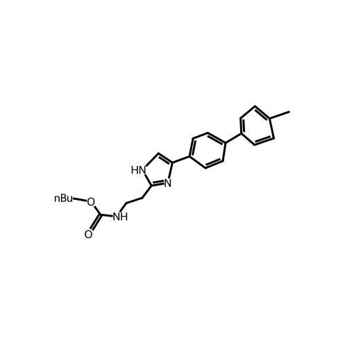 CCCCOC(=O)NCCc1nc(-c2ccc(-c3ccc(C)cc3)cc2)c[nH]1